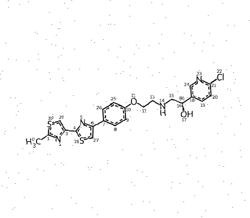 Cc1nc(-c2nc(-c3ccc(OCCNC[C@H](O)c4ccc(Cl)nc4)cc3)cs2)cs1